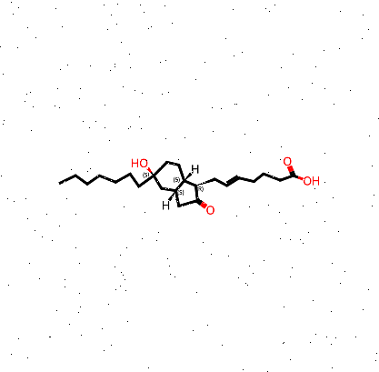 CCCCCCC[C@]1(O)CC[C@H]2[C@H](CC(=O)[C@@H]2CC=CCCCC(=O)O)C1